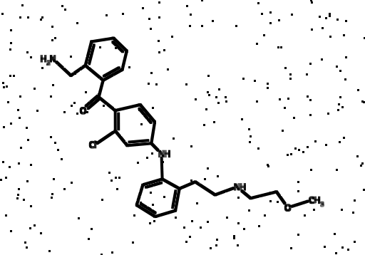 COCCNCCc1ccccc1Nc1ccc(C(=O)c2ccccc2CN)c(Cl)c1